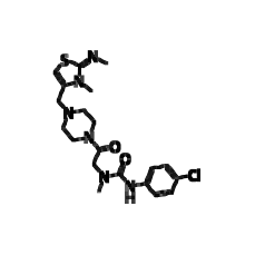 CN=c1scc(CN2CCN(C(=O)CN(C)C(=O)Nc3ccc(Cl)cc3)CC2)n1C